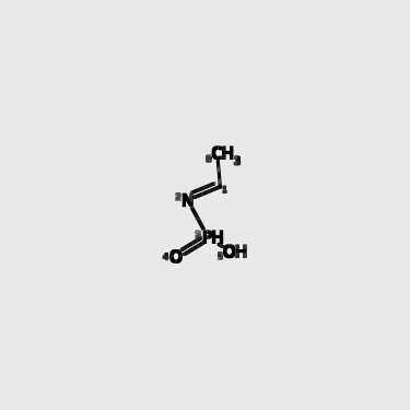 CC=N[PH](=O)O